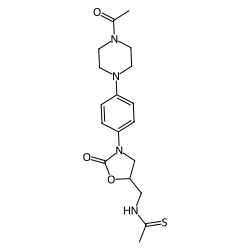 CC(=O)N1CCN(c2ccc(N3CC(CNC(C)=S)OC3=O)cc2)CC1